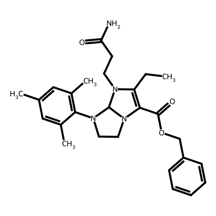 CCC1=C(C(=O)OCc2ccccc2)N2CCN(c3c(C)cc(C)cc3C)C2N1CCC(N)=O